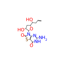 C=CCC(O)C1CC(O)C(n2c(=O)sc3c(=O)[nH]c(N)nc32)O1